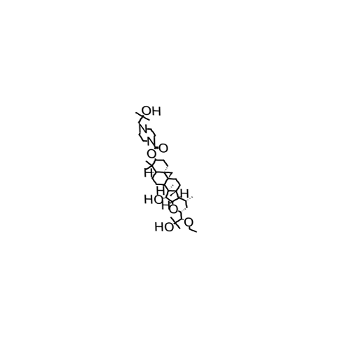 CCO[C@@H]([C@H]1C[C@@H](C)[C@H]2[C@H](O1)[C@H](O)[C@@]1(C)[C@@H]3CC[C@H]4C(C)(C)[C@@H](OC(=O)N5CCN(CC(C)(C)O)CC5)CC[C@@]45C[C@@]35CC[C@]21C)C(C)(C)O